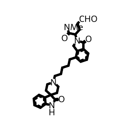 CNC(=O)C(CCC=O)N1Cc2c(CCCCCN3CCC4(CC3)C(=O)Nc3ccccc34)cccc2C1=O